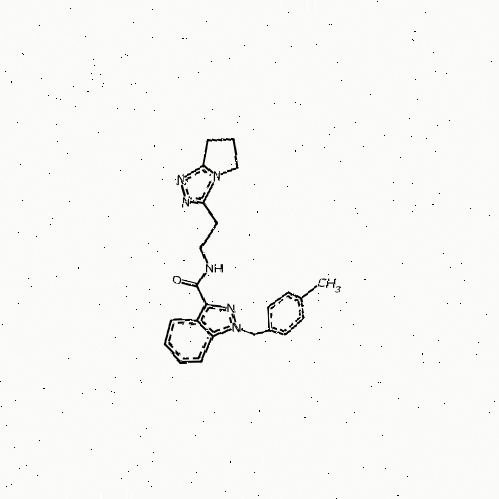 Cc1ccc(Cn2nc(C(=O)NCCc3nnc4n3CCC4)c3ccccc32)cc1